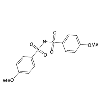 COc1ccc(S(=O)(=O)[N]S(=O)(=O)c2ccc(OC)cc2)cc1